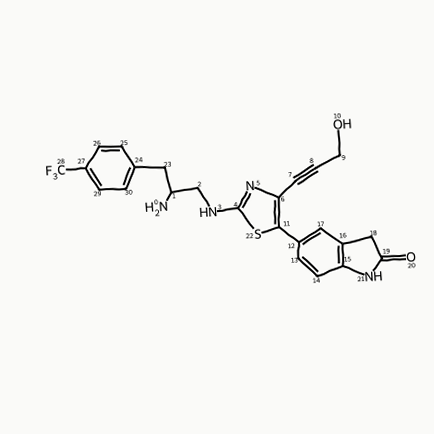 NC(CNc1nc(C#CCO)c(-c2ccc3c(c2)CC(=O)N3)s1)Cc1ccc(C(F)(F)F)cc1